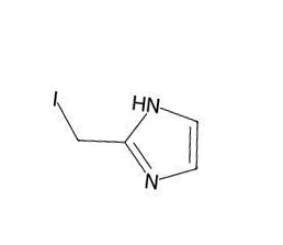 ICc1ncc[nH]1